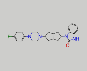 O=c1[nH]c2ccccc2n1C1CC2CC(N3CCN(c4ccc(F)cc4)CC3)CC2C1